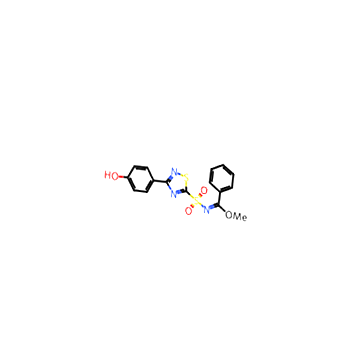 COC(=NS(=O)(=O)c1nc(-c2ccc(O)cc2)ns1)c1ccccc1